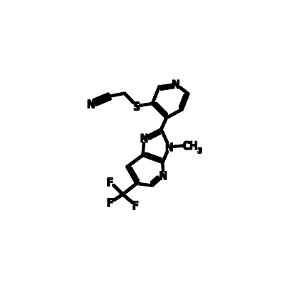 Cn1c(-c2ccncc2SCC#N)nc2cc(C(F)(F)F)cnc21